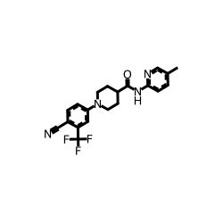 Cc1ccc(NC(=O)C2CCN(c3ccc(C#N)c(C(F)(F)F)c3)CC2)nc1